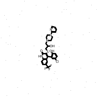 O=c1[nH]c2ccc(C(F)(F)F)cc2c(-c2cc(Cl)ccc2O)c1SCC(O)CN1CCN(c2ccccn2)CC1